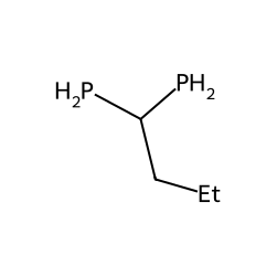 CCCC(P)P